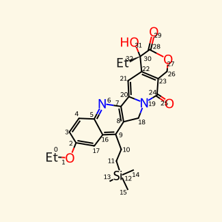 CCOc1ccc2nc3c(c(CC[Si](C)(C)C)c2c1)Cn1c-3cc2c(c1=O)COC(=O)[C@]2(O)CC